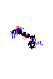 N[C@H]1C[C@@H]2C[C@@H]2C[C@H]2CC[C@@H](C(=O)N3C[C@@H](c4ccn(C5CCN(c6ccc7c(c6)[nH]c(=O)n7C6CCC(=O)NC6=O)CC5)c(=O)c4)CC34CC4)N2C1=O